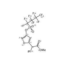 COC(=O)C(c1cc(OS(=O)(=O)C(F)(F)C(F)(F)C(F)(F)C(F)(F)F)no1)C(C)C